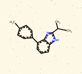 Cc1ccc(-c2cccc3[nH]c(C(C)C)nc23)cc1